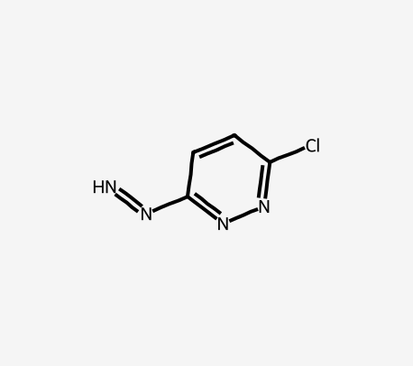 N=Nc1ccc(Cl)nn1